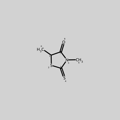 CC1SC(=S)N(C)C1=O